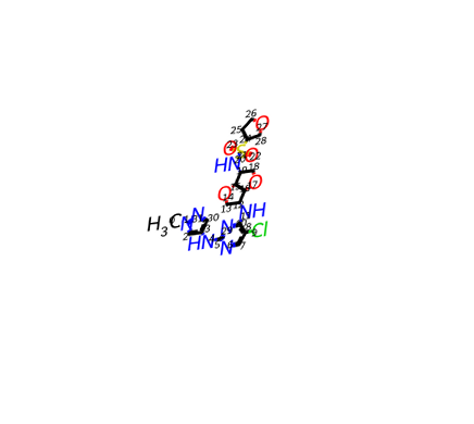 Cn1cc(Nc2ncc(Cl)c(N[C@@H]3COC4C3OC[C@@H]4NS(=O)(=O)C3CCOC3)n2)cn1